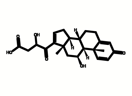 C[C@]12C=CC(=O)C=C1CC[C@@H]1[C@@H]2[C@@H](O)C[C@]2(C)C(C(=O)C(O)CC(=O)O)=CC[C@@H]12